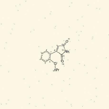 CCCOc1ccccc1C1=CC(=O)NC1=O